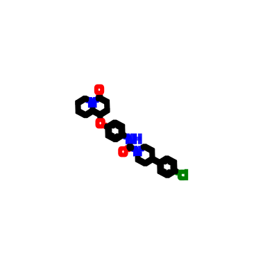 O=C(Nc1ccc(OC2CCC(=O)N3CCCCC23)cc1)N1CCC(c2ccc(Cl)cc2)CC1